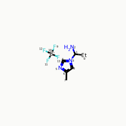 CCC(N)n1cnc(C)c1.F[B-](F)(F)F